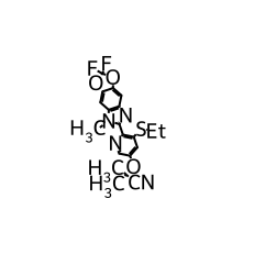 CCSc1cc(OC(C)(C)C#N)cnc1-c1nc2cc3c(cc2n1C)OC(F)(F)O3